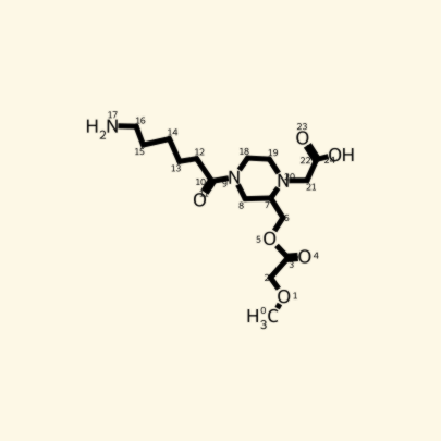 COCC(=O)OCC1CN(C(=O)CCCCCN)CCN1CC(=O)O